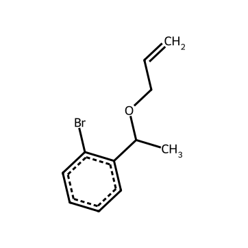 C=CCOC(C)c1ccccc1Br